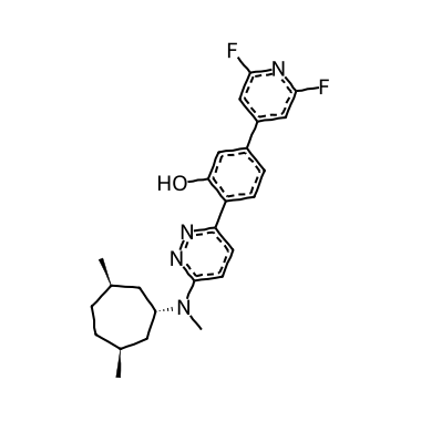 C[C@@H]1CC[C@H](C)C[C@@H](N(C)c2ccc(-c3ccc(-c4cc(F)nc(F)c4)cc3O)nn2)C1